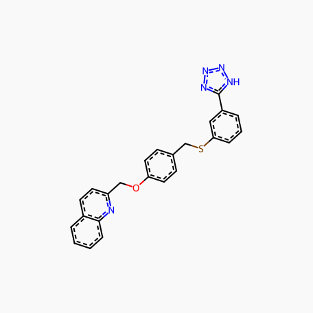 c1cc(SCc2ccc(OCc3ccc4ccccc4n3)cc2)cc(-c2nnn[nH]2)c1